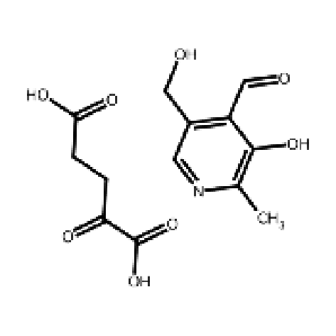 Cc1ncc(CO)c(C=O)c1O.O=C(O)CCC(=O)C(=O)O